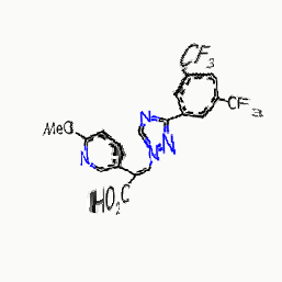 COc1ccc(/C(=C\n2cnc(-c3cc(C(F)(F)F)cc(C(F)(F)F)c3)n2)C(=O)O)cn1